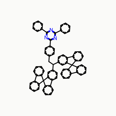 c1ccc(-c2nc(-c3ccccc3)nc(-c3ccc(CC(c4ccc5c(c4)C4(c6ccccc6-c6ccccc64)c4ccccc4-5)c4ccc5c(c4)C4(c6ccccc6-c6ccccc64)c4ccccc4-5)cc3)n2)cc1